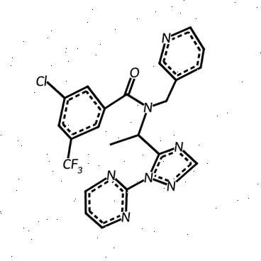 CC(c1ncnn1-c1ncccn1)N(Cc1cccnc1)C(=O)c1cc(Cl)cc(C(F)(F)F)c1